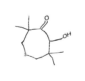 CC1(C)CSCC(C)(C)C(O)C1=O